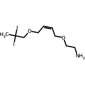 CC(I)(I)COC/C=C\COCCN